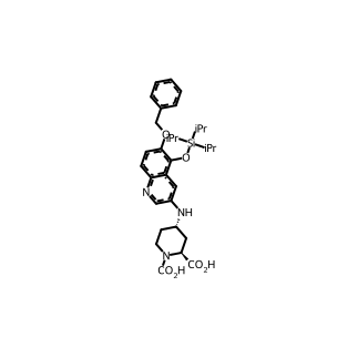 CC(C)[Si](Oc1c(OCc2ccccc2)ccc2ncc(N[C@H]3CCN(C(=O)O)[C@H](C(=O)O)C3)cc12)(C(C)C)C(C)C